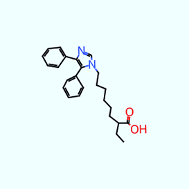 CCC(CCCCCCn1cnc(-c2ccccc2)c1-c1ccccc1)C(=O)O